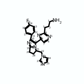 NCCCc1nccc(-c2c(-c3ccc(F)cc3)nc3n2C(Cn2ccnc2)CC3)n1